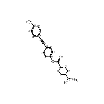 CCC(N)C1CCC(C(=O)Oc2ccc(C#Cc3ccc(C)cc3)cc2)CC1